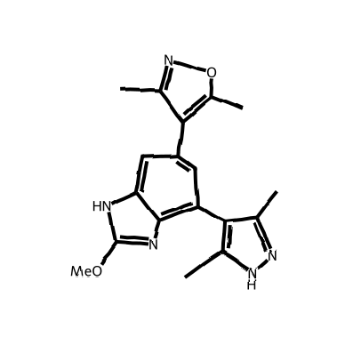 COc1nc2c(-c3c(C)n[nH]c3C)cc(-c3c(C)noc3C)cc2[nH]1